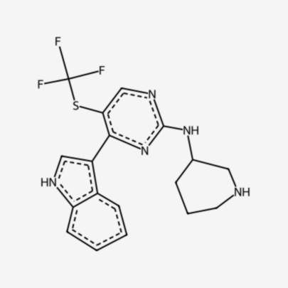 FC(F)(F)Sc1cnc(NC2CCCNC2)nc1-c1c[nH]c2ccccc12